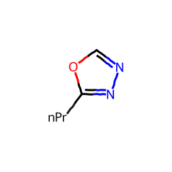 CCCc1nnco1